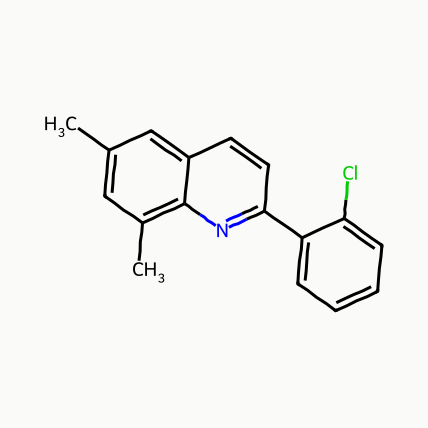 Cc1cc(C)c2nc(-c3ccccc3Cl)ccc2c1